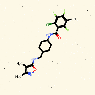 Cc1noc(NCC2CCC(NC(=O)c3c(F)c(C)c(F)c(F)c3Cl)CC2)c1C